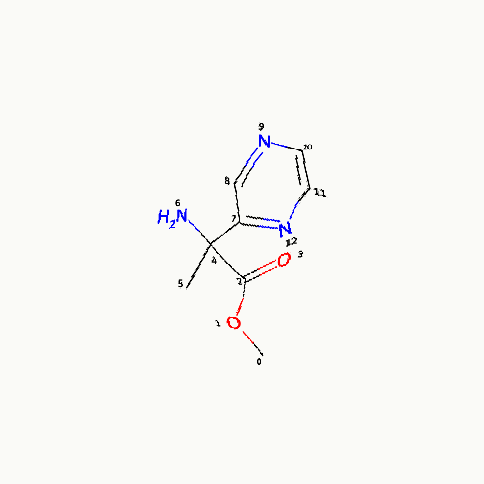 COC(=O)C(C)(N)c1cnccn1